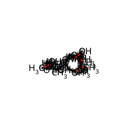 CC[C@H]1C[C@@H]2C[C@H]3[C@@H](O)[C@@H](C)[C@H](C[C@H](O)[C@@H](C)CCC(O)C/C=C(\C)[C@@H]4C/C=C/C=C/[C@H](O)[C@H](C)[C@@H](O)[C@@H](CCC(C)=O)C(=O)N[C@@H](C(C)C)C(=O)N[C@@H](Cc5cccc(O)c5)C(=O)N5CCCC(N5)C(=O)O4)O[C@]23NC1=O